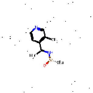 CC(N[S@@+]([O-])C(C)(C)C)c1ccncc1C(F)(F)F